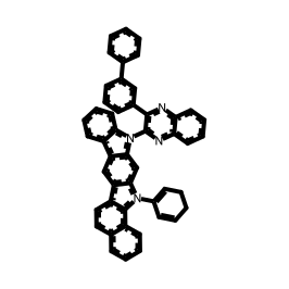 C1=CC(n2c3cc4c(cc3c3ccc5ccccc5c32)c2ccccc2n4-c2nc3ccccc3nc2-c2cccc(-c3ccccc3)c2)=CCC1